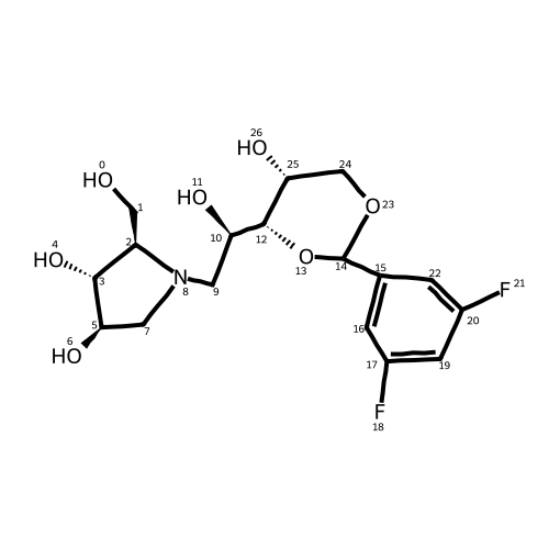 OC[C@@H]1[C@@H](O)[C@H](O)CN1C[C@@H](O)[C@H]1OC(c2cc(F)cc(F)c2)OC[C@H]1O